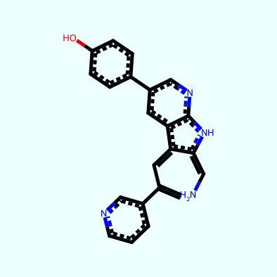 C=C(/C=c1\c(=C/N)[nH]c2ncc(-c3ccc(O)cc3)cc12)c1cccnc1